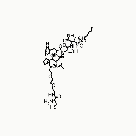 C=CCCCOP(=O)(O)O[C@H](C)[C@H](NC(=O)[C@H](CO)NC(=O)[C@H](Cc1cnc[nH]1)NC(=O)[C@H](CC(C)C)NC(=O)[C@@H]1CCCN1C(=O)CCOCCOCCNC(=O)[C@@H](N)CS)C(N)=O